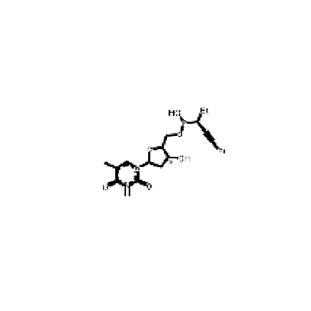 CCC#CC(CC)P(O)OCC1OC(n2cc(C)c(=O)[nH]c2=O)C[C@@H]1O